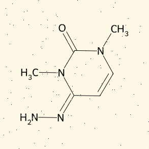 Cn1ccc(=NN)n(C)c1=O